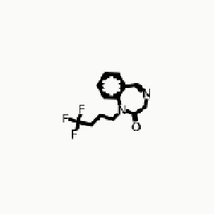 O=C1CN=Cc2ccccc2N1CCCC(F)(F)F